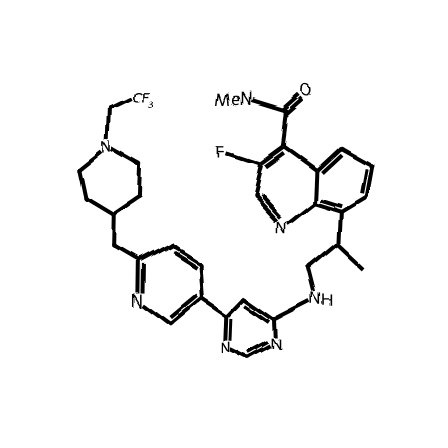 CNC(=O)c1c(F)cnc2c(C(C)CNc3cc(-c4ccc(CC5CCN(CC(F)(F)F)CC5)nc4)ncn3)cccc12